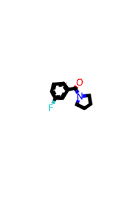 O=C(c1[c]ccc(F)c1)N1CCCC1